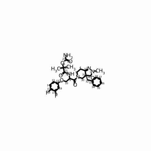 CN1N=C2CCN(C(=O)C(COc3ccc(F)c(F)c3)NC(=O)C(C)(C)OC(N)=O)C[C@@]2(Cc2ccccc2)C1=O